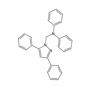 c1ccc(-c2cc(-c3ccccc3)n(CN(c3ccccc3)c3ccccc3)n2)cc1